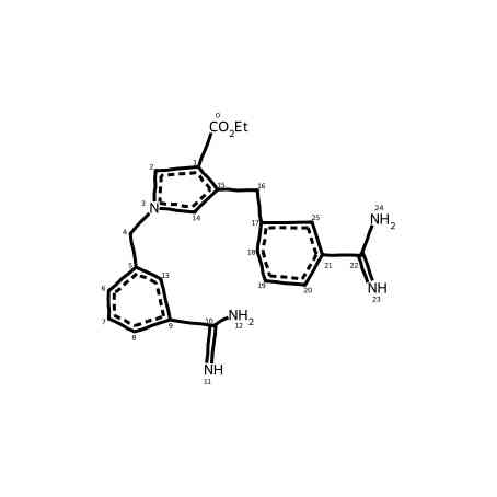 CCOC(=O)c1cn(Cc2cccc(C(=N)N)c2)cc1Cc1cccc(C(=N)N)c1